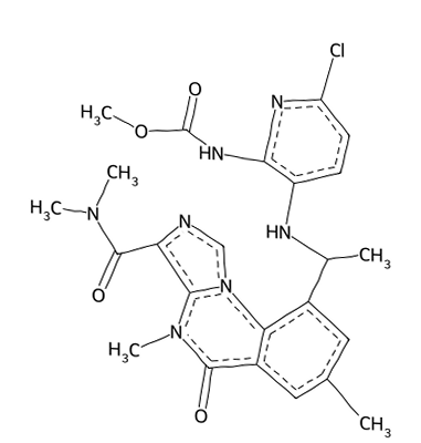 COC(=O)Nc1nc(Cl)ccc1NC(C)c1cc(C)cc2c(=O)n(C)c3c(C(=O)N(C)C)ncn3c12